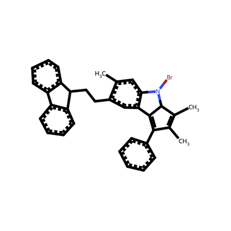 CC1=C(C)C2C(=C1c1ccccc1)c1cc(CCC3c4ccccc4-c4ccccc43)c(C)cc1N2Br